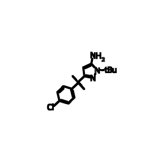 CC(C)(c1ccc(Cl)cc1)c1cc(N)n(C(C)(C)C)n1